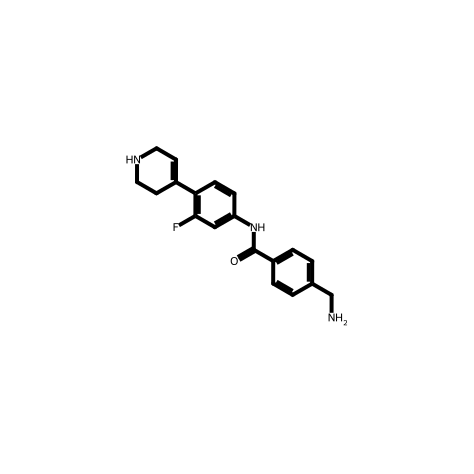 NCc1ccc(C(=O)Nc2ccc(C3=CCNCC3)c(F)c2)cc1